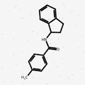 Cc1ccc(C(=O)NC2CCc3ccccc32)cc1